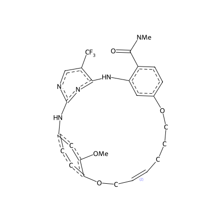 CNC(=O)c1ccc2cc1Nc1nc(ncc1C(F)(F)F)Nc1ccc(c(OC)c1)OC/C=C\CCCO2